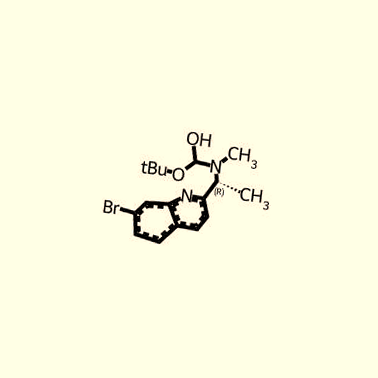 C[C@H](c1ccc2ccc(Br)cc2n1)N(C)C(O)OC(C)(C)C